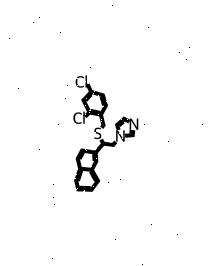 Clc1ccc(CSC(Cn2ccnc2)c2ccc3ccccc3c2)c(Cl)c1